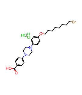 Cl.Cl.O=C(O)c1ccc(N2CCN(c3ccc(OCCCCCCCCBr)cc3)CC2)cc1